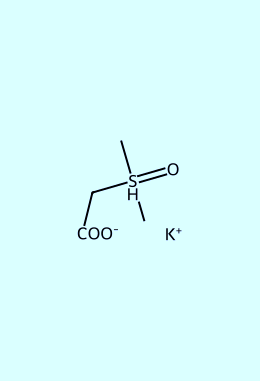 C[SH](C)(=O)CC(=O)[O-].[K+]